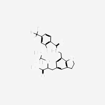 CC(C)OC(Cc1cc2c(c(CNC(=O)c3ccc(C(F)(F)F)cc3F)c1)OCC2)C(=O)O